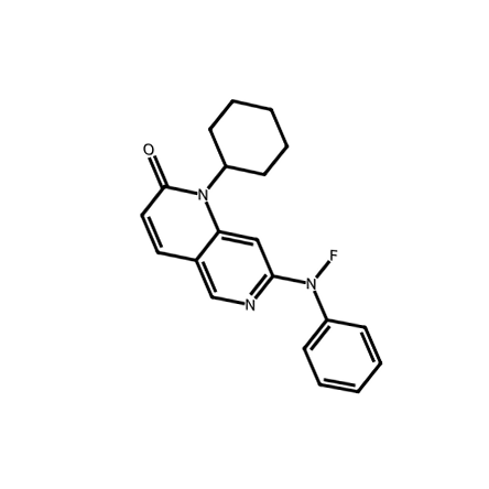 O=c1ccc2cnc(N(F)c3ccccc3)cc2n1C1CCCCC1